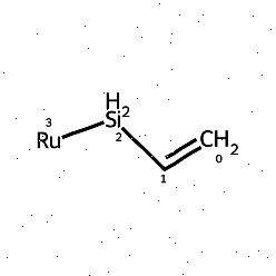 C=C[SiH2][Ru]